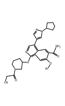 CC(C)Oc1cc2c(OC3CCCN(C(=O)CC#N)C3)ncc(-c3cnn(C4CCCC4)c3)c2cc1C(N)=O